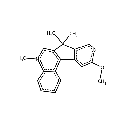 COc1cc2c(cn1)C(C)(C)c1c[n+](C)c3ccccc3c1-2